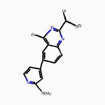 CCCC(CC)c1nc(CC)c2cc(-c3ccnc(NC(C)=O)c3)ccc2n1